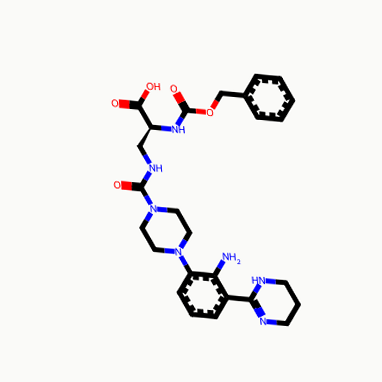 Nc1c(C2=NCCCN2)cccc1N1CCN(C(=O)NC[C@H](NC(=O)OCc2ccccc2)C(=O)O)CC1